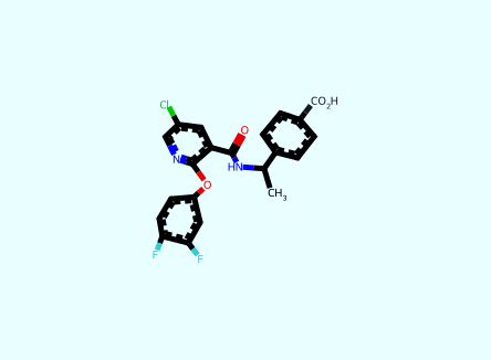 CC(NC(=O)c1cc(Cl)cnc1Oc1ccc(F)c(F)c1)c1ccc(C(=O)O)cc1